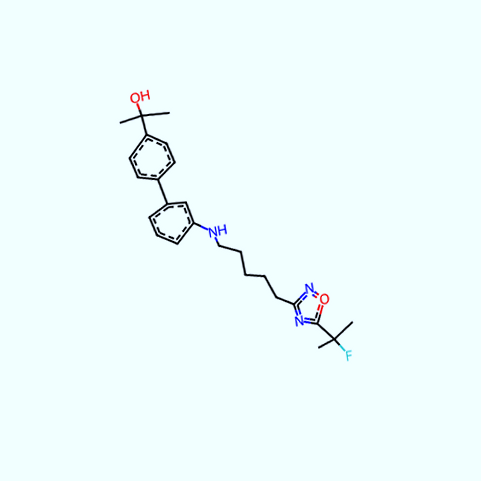 CC(C)(O)c1ccc(-c2cccc(NCCCCCc3noc(C(C)(C)F)n3)c2)cc1